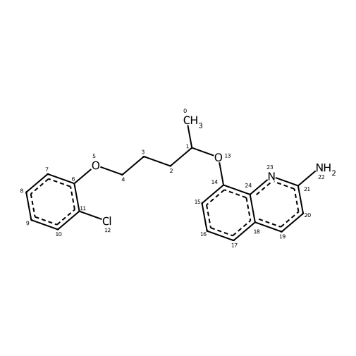 CC(CCCOc1ccccc1Cl)Oc1cccc2ccc(N)nc12